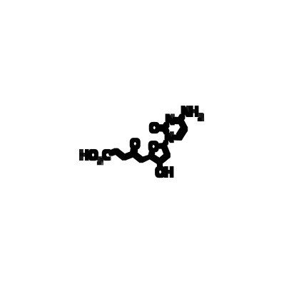 Nc1ccn([C@H]2CC(O)[C@@H](CC(=O)CCC(=O)O)O2)c(=O)n1